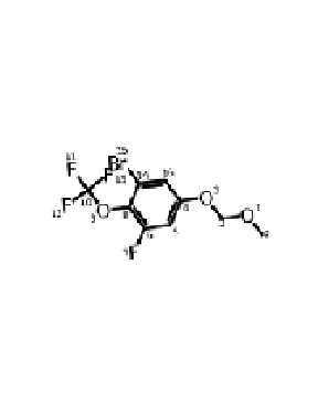 COCOc1cc(F)c(OC(F)(F)F)c(Br)c1